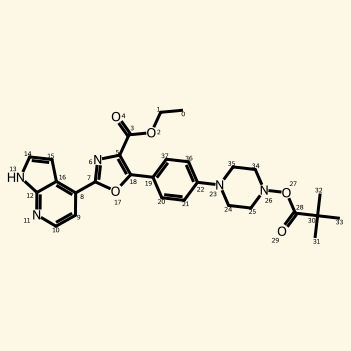 CCOC(=O)c1nc(-c2ccnc3[nH]ccc23)oc1-c1ccc(N2CCN(OC(=O)C(C)(C)C)CC2)cc1